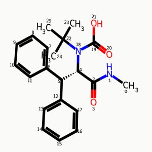 CNC(=O)[C@H](C(c1ccccc1)c1ccccc1)N(C(=O)O)C(C)(C)C